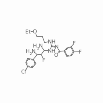 CCOCCCN/C(=N/C(=O)c1ccc(F)c(F)c1)NC(N)C(F)C(N)c1ccc(Cl)cc1